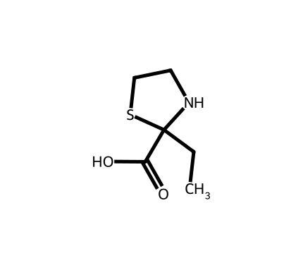 CCC1(C(=O)O)NCCS1